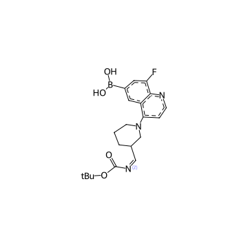 CC(C)(C)OC(=O)/N=C\C1CCCN(c2ccnc3c(F)cc(B(O)O)cc23)C1